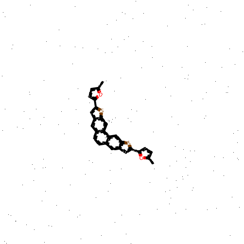 Cc1ccc(-c2cc3cc4ccc5cc6cc(-c7ccc(C)o7)sc6cc5c4cc3s2)o1